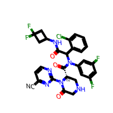 N#Cc1ccnc(N2C(=O)CNC[C@H]2C(=O)N(c2cc(F)cc(F)c2)C(C(=O)NC2CC(F)(F)C2)c2ccccc2Cl)n1